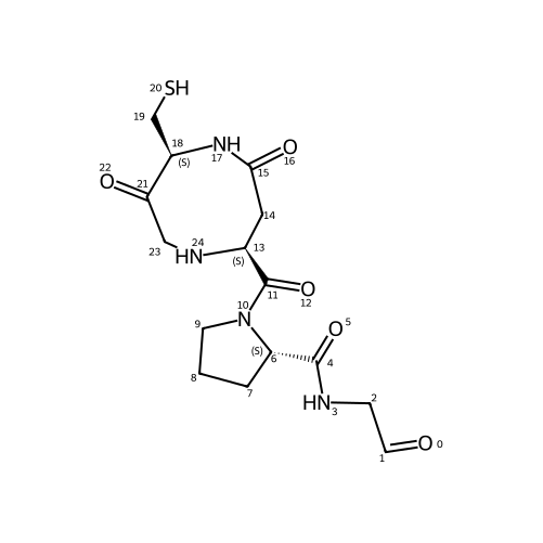 O=CCNC(=O)[C@@H]1CCCN1C(=O)[C@@H]1CC(=O)N[C@H](CS)C(=O)CN1